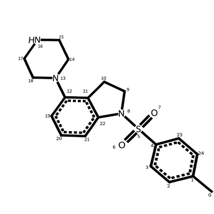 Cc1ccc(S(=O)(=O)N2CCc3c(N4CCNCC4)cccc32)cc1